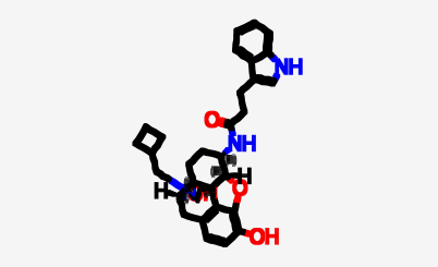 O=C(CCc1c[nH]c2ccccc12)N[C@@H]1CC[C@@]2(O)[C@H]3Cc4ccc(O)c5c4[C@@]2(CCN3CC2CCC2)[C@H]1O5